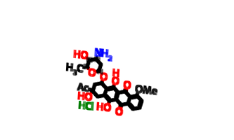 COc1cccc2c1C(=O)c1c(O)c3c(c(O)c1C2=O)CC(O)(C(C)=O)CC3O[C@H]1C[C@H](N)[C@H](O)[C@H](C)O1.Cl